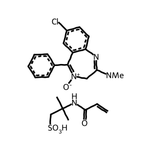 C=CC(=O)NC(C)(C)CS(=O)(=O)O.CNC1=Nc2ccc(Cl)cc2C(c2ccccc2)=[N+]([O-])C1